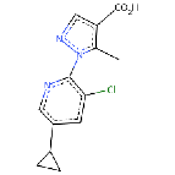 Cc1c(C(=O)O)cnn1-c1ncc(C2CC2)cc1Cl